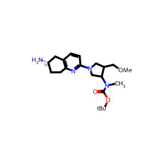 COCC1CN(c2ccc3c(n2)CC[C@H](N)C3)CC1N(C)C(=O)OC(C)(C)C